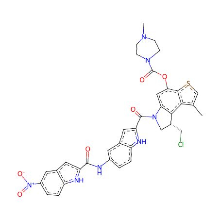 Cc1csc2c(OC(=O)N3CCN(C)CC3)cc3c(c12)[C@H](CCl)CN3C(=O)c1cc2cc(NC(=O)c3cc4cc([N+](=O)[O-])ccc4[nH]3)ccc2[nH]1